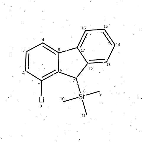 [Li][c]1cccc2c1C([Si](C)(C)C)c1ccccc1-2